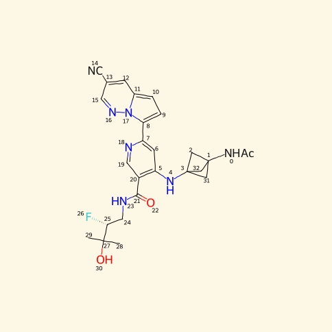 CC(=O)NC12CC(Nc3cc(-c4ccc5cc(C#N)cnn45)ncc3C(=O)NC[C@@H](F)C(C)(C)O)(C1)C2